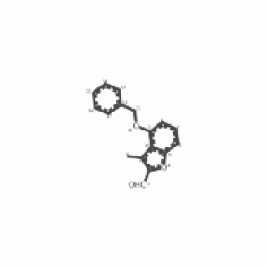 Cc1c(C=O)oc2cccc(OCc3ccccc3)c12